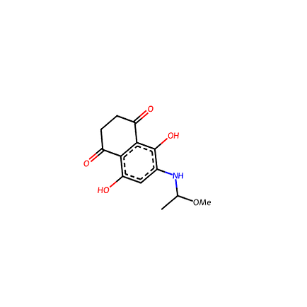 COC(C)Nc1cc(O)c2c(c1O)C(=O)CCC2=O